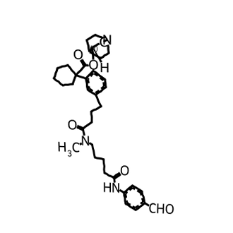 CN(CCCCC(=O)Nc1ccc(C=O)cc1)C(=O)CCCc1cccc(C2(C(=O)O[C@H]3CN4CCC3CC4)CCCCC2)c1